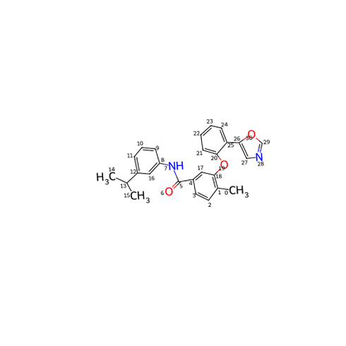 Cc1ccc(C(=O)Nc2cccc(C(C)C)c2)cc1Oc1ccccc1-c1cnco1